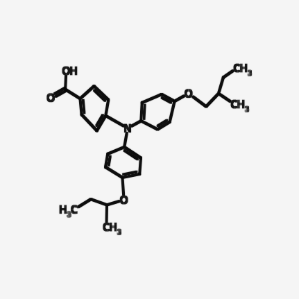 CCC(C)COc1ccc(N(c2ccc(OC(C)CC)cc2)c2ccc(C(=O)O)cc2)cc1